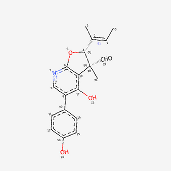 C/C=C(\C)[C@H]1Oc2ncc(-c3ccc(O)cc3)c(O)c2[C@@]1(C)C=O